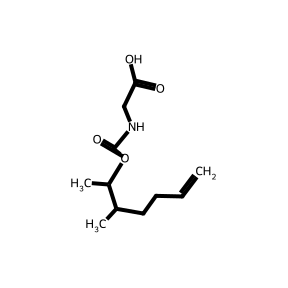 C=CCCC(C)C(C)OC(=O)NCC(=O)O